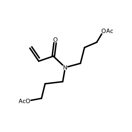 C=CC(=O)N(CCCOC(C)=O)CCCOC(C)=O